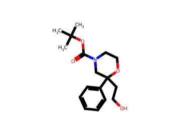 CC(C)(C)OC(=O)N1CCOC(CCO)(c2ccccc2)C1